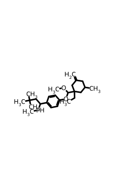 C=C1CC(C)CC(CC)(C(OC)Oc2ccc(C(CC(C)(C)C)PC)cc2)C1